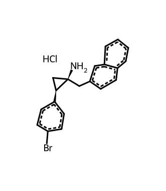 Cl.N[C@]1(Cc2ccc3ccccc3c2)C[C@@H]1c1ccc(Br)cc1